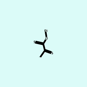 [CH2]C(=S)C(=S)OCC